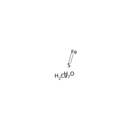 O.[CaH2].[S]=[Fe]